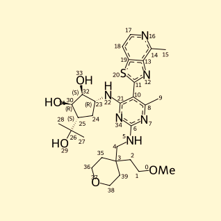 COCCC1(CNc2nc(C)c(-c3nc4c(C)nccc4s3)c(N[C@@H]3C[C@H](C(C)(C)O)[C@@H](O)[C@H]3O)n2)CCOCC1